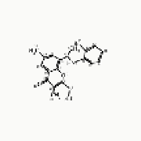 CCSc1oc2c(C(C)Nc3ccccc3Br)cc(C)cc2c(=O)c1C